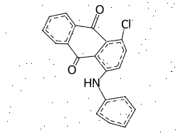 O=C1c2ccccc2C(=O)c2c(Nc3ccccc3)ccc(Cl)c21